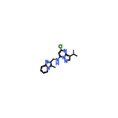 Cc1c(CNc2cc(Cl)nc3c(C(C)C)cnn23)nc2ccccn12